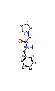 O=C(CN1CCCC1)N[CH]c1ccccc1